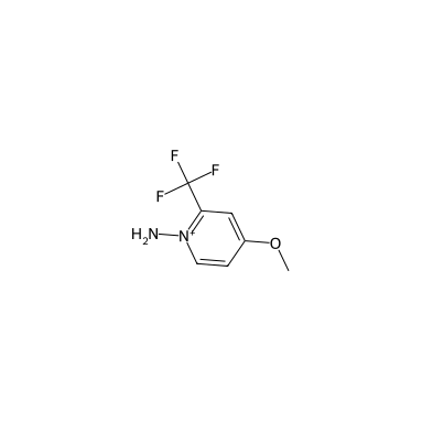 COc1cc[n+](N)c(C(F)(F)F)c1